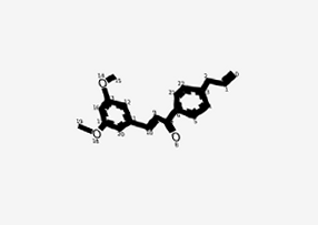 C=CCc1ccc(C(=O)C=Cc2cc(OC)cc(OC)c2)cc1